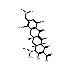 COc1c(CN(C)C(C)(C)C)cc(O)c2c1C[C@H]1C[C@H]3[C@H](N(C)C)C(O)=C(C(N)=O)C(=O)[C@@]3(O)C(O)=C1C2=O